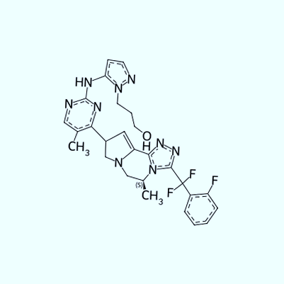 Cc1cnc(Nc2ccnn2CCCO)nc1C1C=C2c3nnc(C(F)(F)c4ccccc4F)n3[C@@H](C)CN2C1